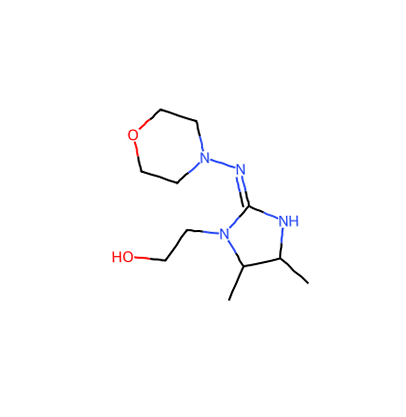 CC1NC(=NN2CCOCC2)N(CCO)C1C